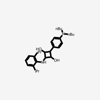 CCCCN(CCCC)c1ccc(C2C(O)C(Nc3c(C(C)C)cccc3C(C)C)C2O)cc1